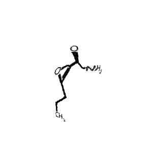 CCCC1=C(C(N)=O)O1